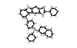 c1ccc(-c2nc3cc4oc5cccc(-c6ccc(N(c7ccccc7)c7ccc8ccccc8c7)cc6)c5c4cc3o2)cc1